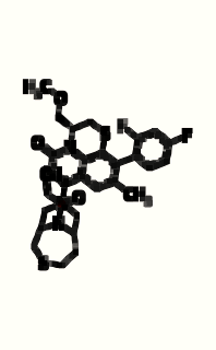 C=CC(=O)N1C2CCSCC1CN(c1nc(=O)n3c4c(c(-c5ccc(F)cc5F)c(C)cc14)SC[C@@H]3COC)C2